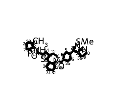 CSn1cc(-c2ccc(C(=O)N3CCc4cc(C(=O)Nc5c(C)cccc5F)sc4-c4ccccc43)cc2)c2cccnc21